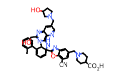 Cc1ccccc1C1=CC=CC(Nc2nc(CO)nc3cc(CN4CCC(O)C4)cnc23)(c2nc3cc(CN4CCC(C(=O)O)CC4)cc(C#N)c3o2)C1C